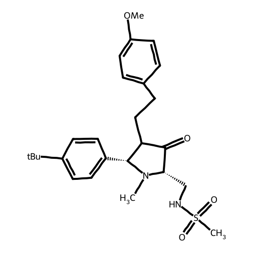 COc1ccc(CCC2C(=O)[C@H](CNS(C)(=O)=O)N(C)[C@@H]2c2ccc(C(C)(C)C)cc2)cc1